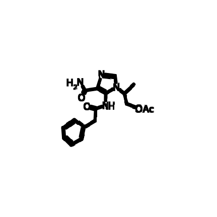 CC(=O)OCC(C)n1cnc(C(N)=O)c1NC(=O)Cc1ccccc1